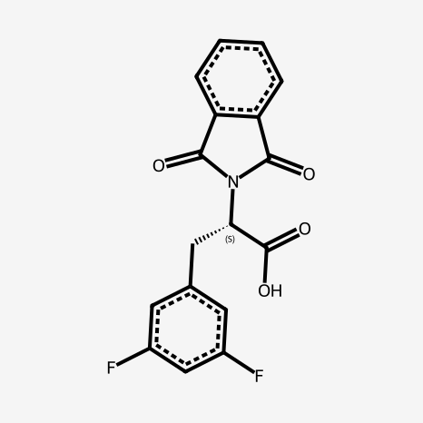 O=C(O)[C@H](Cc1cc(F)cc(F)c1)N1C(=O)c2ccccc2C1=O